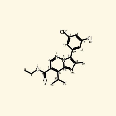 CCOC(=O)c1cnn2c(-c3cc(Cl)cc(Cl)c3)c(C)nc2c1C(C)C